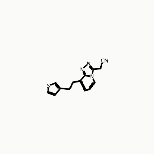 N#CCc1nnc2c(CCc3ccsc3)cccn12